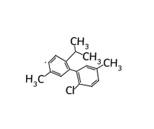 Cc1[c]cc(C(C)C)c(-c2cc(C)ccc2Cl)c1